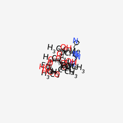 CC[C@H]1OC(=O)[C@H](C)[C@@H](OC[C@H]2C[C@@](C)(OC)[C@@H](O)[C@H](C)O2)[C@H](C)[C@@H](O[C@@H]2O[C@H](C)C[C@H](N(C)CCc3cn(CCCc4cccnc4)nn3)[C@H]2O)[C@](C)(OC)CCC(=O)[C@H](C)[C@@H](O)[C@]1(C)O